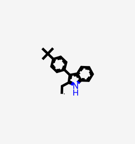 [CH2]Cc1[nH]c2ccccc2c1-c1ccc(C(C)(C)C)cc1